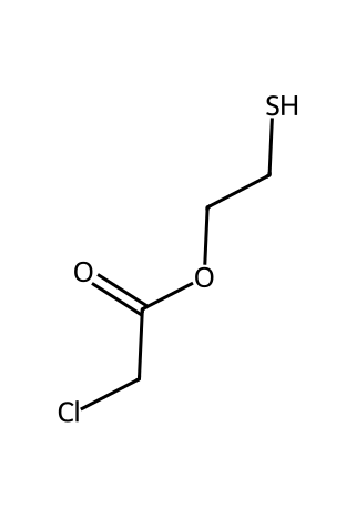 O=C(CCl)OCCS